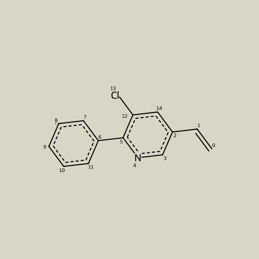 C=Cc1cnc(-c2c[c]ccc2)c(Cl)c1